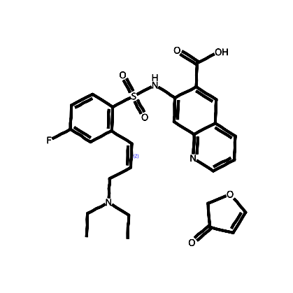 CCN(CC)C/C=C\c1cc(F)ccc1S(=O)(=O)Nc1cc2ncccc2cc1C(=O)O.O=C1C=COC1